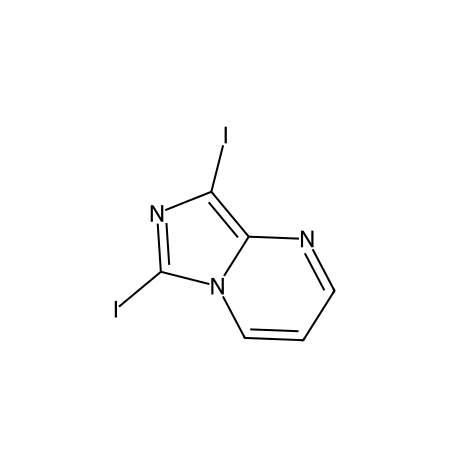 Ic1nc(I)n2cccnc12